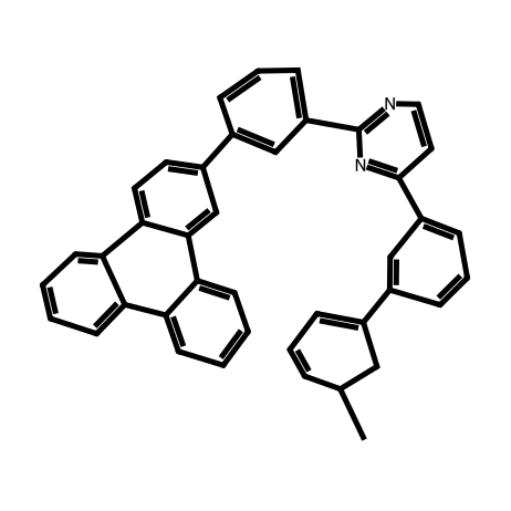 CC1C=CC=C(c2cccc(-c3ccnc(-c4cccc(-c5ccc6c7ccccc7c7ccccc7c6c5)c4)n3)c2)C1